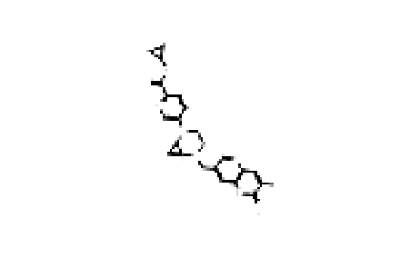 CCc1cc2ncc(CN3CCN(c4ccc(C(=O)NC5CC5)nc4)[C@@H]4CC43)cc2[nH]c1=O